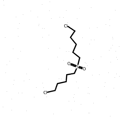 O=S(=O)(CCCCCCl)CCCCCCl